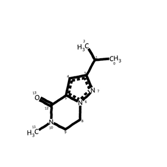 CC(C)c1cc2n(n1)CCN(C)C2=O